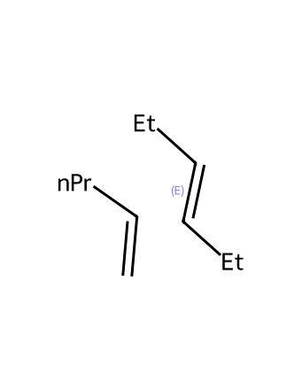 C=CCCC.CC/C=C/CC